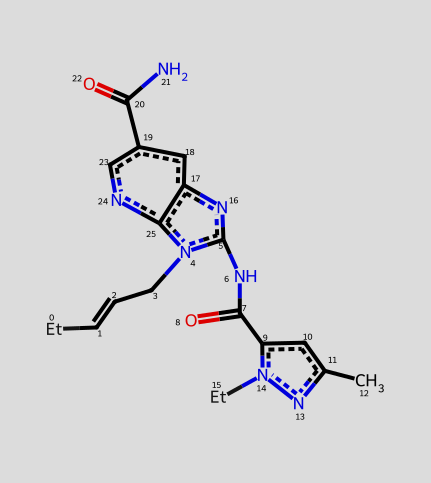 CC/C=C/Cn1c(NC(=O)c2cc(C)nn2CC)nc2cc(C(N)=O)cnc21